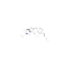 CCOCCN1CCN(CC2Cc3cnc(C#N)nc3N2CC(C)(C)C)CC1